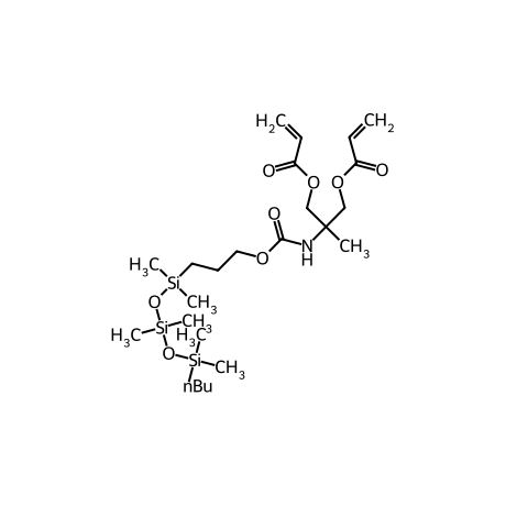 C=CC(=O)OCC(C)(COC(=O)C=C)NC(=O)OCCC[Si](C)(C)O[Si](C)(C)O[Si](C)(C)CCCC